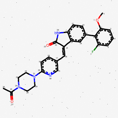 COc1cccc(F)c1-c1ccc2c(c1)C(=Cc1ccc(N3CCN(C(C)=O)CC3)nc1)C(=O)N2